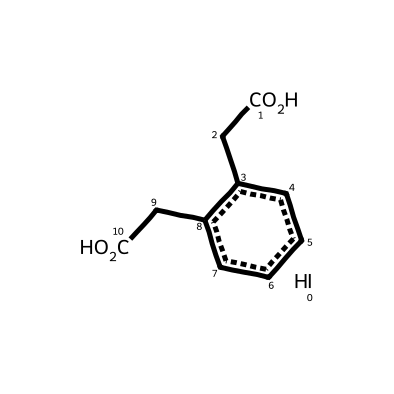 I.O=C(O)Cc1ccccc1CC(=O)O